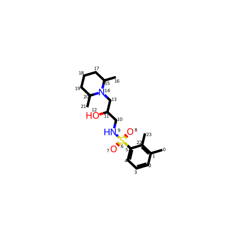 Cc1cccc(S(=O)(=O)NCC(O)CN2C(C)CCCC2C)c1C